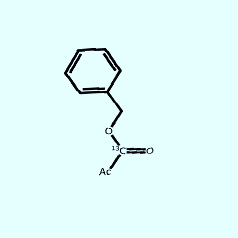 CC(=O)[13C](=O)OCc1ccccc1